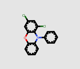 Clc1cc(Cl)c2c(c1)Oc1ccccc1N2c1ccccc1